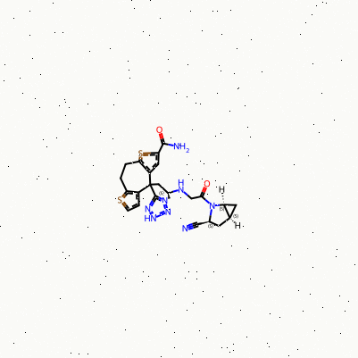 C[C@@H](CC1(c2nn[nH]n2)c2ccsc2CCc2sc(C(N)=O)cc21)NCC(=O)N1[C@H](C#N)C[C@@H]2C[C@@H]21